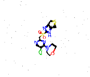 O=S(=O)(Cc1ncc(Cl)c(N2CCOCC2)n1)c1nc2cscc2[nH]1